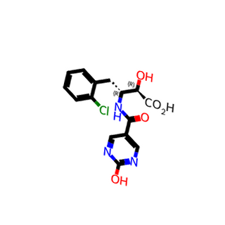 O=C(N[C@H](Cc1ccccc1Cl)[C@@H](O)C(=O)O)c1cnc(O)nc1